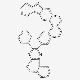 c1ccc(-c2nc3ccc4ccccc4c3nc2-c2ccc3c(ccc4ccc5cc6oc7ccccc7c6cc5c43)c2)cc1